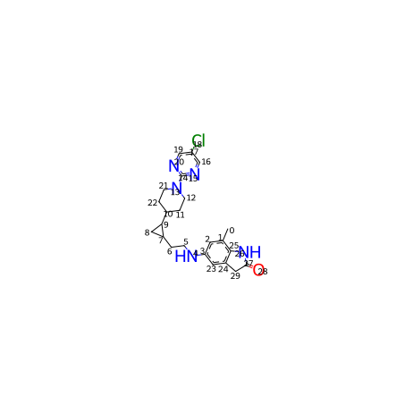 Cc1cc(NCCC2CC2C2CCN(c3ncc(Cl)cn3)CC2)cc2c1NC(=O)C2